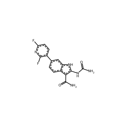 NC(=O)Nc1[nH]c2cc(-c3ccc(F)nc3F)ccc2c1C(N)=O